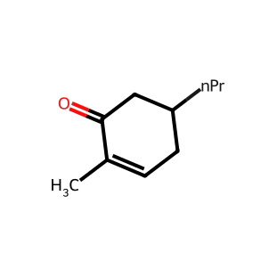 CCCC1CC=C(C)C(=O)C1